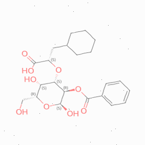 O=C(O[C@@H]1[C@@H](O[C@@H](CC2CCCCC2)C(=O)O)[C@@H](O)[C@@H](CO)O[C@@H]1O)c1ccccc1